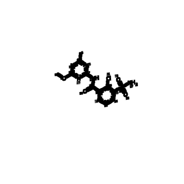 COc1nc(C)nc(NC(=O)c2cccc(S(N)(=O)=O)c2Cl)n1